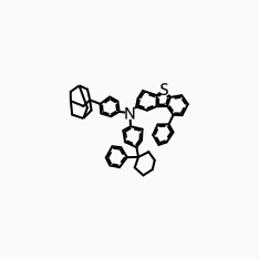 c1ccc(-c2cccc3sc4ccc(N(c5ccc(C67CC8CC(CC(C8)C6)C7)cc5)c5ccc(C6(c7ccccc7)CCCCC6)cc5)cc4c23)cc1